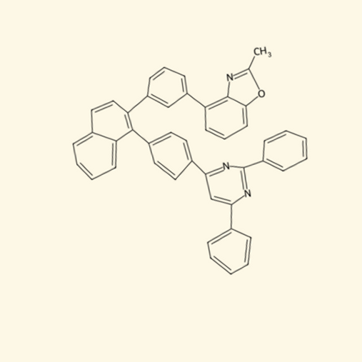 Cc1nc2c(-c3cccc(-c4ccc5ccccc5c4-c4ccc(-c5cc(-c6ccccc6)nc(-c6ccccc6)n5)cc4)c3)cccc2o1